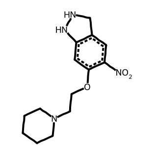 O=[N+]([O-])c1cc2c(cc1OCCN1CCCCC1)NNC2